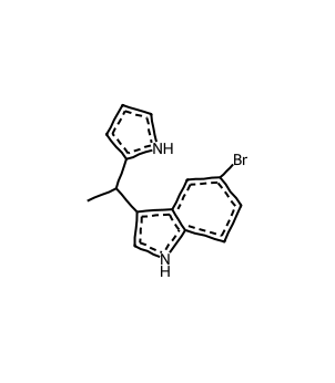 CC(c1ccc[nH]1)c1c[nH]c2ccc(Br)cc12